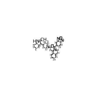 Cc1[nH]c2ccccc2c1C1CCN(CCC2c3ccccc3CCN2C(=O)c2ccc3nonc3c2)CC1